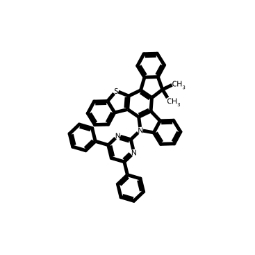 CC1(C)c2ccccc2-c2c1c1c3ccccc3n(-c3nc(-c4ccccc4)cc(-c4ccccc4)n3)c1c1c2sc2ccccc21